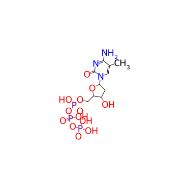 Cc1cn(C2CC(O)C(COP(=O)(O)OP(=O)(O)OP(=O)(O)O)O2)c(=O)nc1N